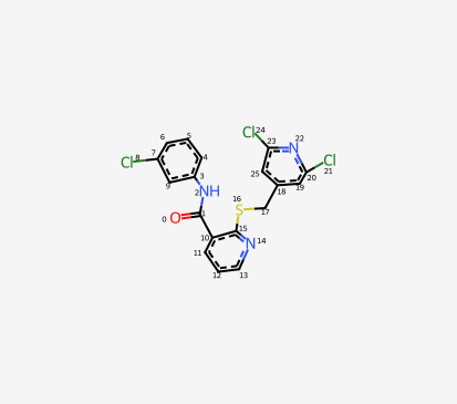 O=C(Nc1cccc(Cl)c1)c1cccnc1SCc1cc(Cl)nc(Cl)c1